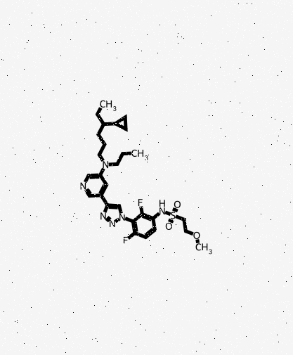 CCCN(CCCC(CC)C1CC1)c1cncc(-c2cn(-c3c(F)ccc(NS(=O)(=O)CCOC)c3F)nn2)c1